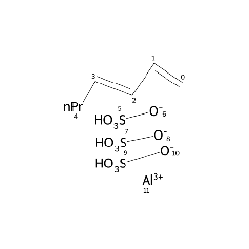 C=CC=CCCC.O=S(=O)([O-])O.O=S(=O)([O-])O.O=S(=O)([O-])O.[Al+3]